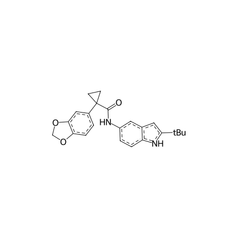 CC(C)(C)c1cc2cc(NC(=O)C3(c4ccc5c(c4)OCO5)CC3)ccc2[nH]1